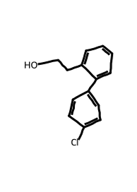 OCCc1ccccc1-c1ccc(Cl)cc1